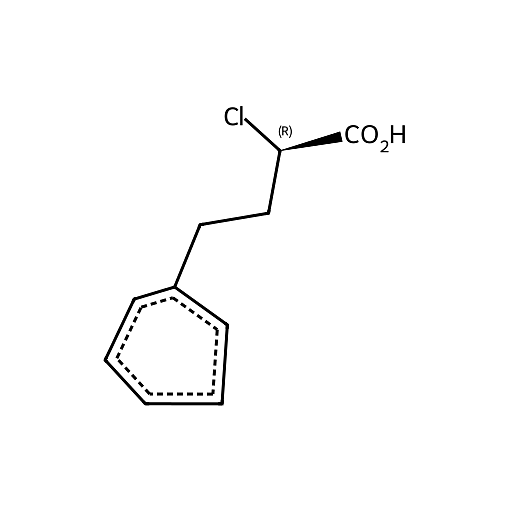 O=C(O)[C@H](Cl)CCc1ccccc1